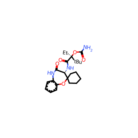 CC[C@@](OC(N)=O)(C(=O)N[C@H]1C(=O)Nc2ccccc2OC12CCCCC2)C(C)(C)C